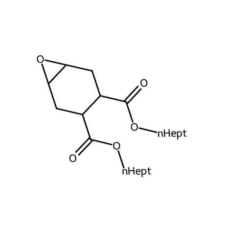 CCCCCCCOC(=O)C1CC2OC2CC1C(=O)OCCCCCCC